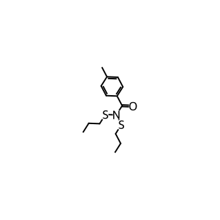 CCCSN(SCCC)C(=O)c1ccc(C)cc1